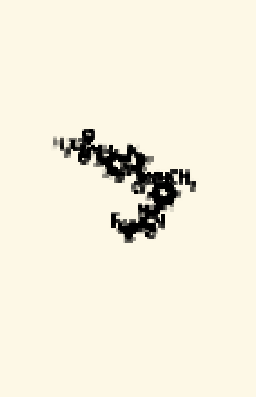 Cc1ccc(-c2noc([C@H]3C[C@@H]3F)n2)cc1NC(=O)c1cnc2cc(CNS(C)(=O)=O)ccn12